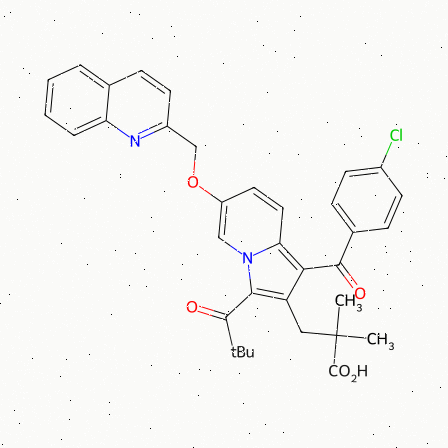 CC(C)(C)C(=O)c1c(CC(C)(C)C(=O)O)c(C(=O)c2ccc(Cl)cc2)c2ccc(OCc3ccc4ccccc4n3)cn12